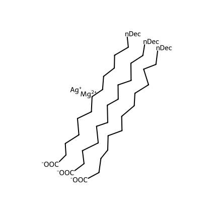 CCCCCCCCCCCCCCCCCCCCCC(=O)[O-].CCCCCCCCCCCCCCCCCCCCCC(=O)[O-].CCCCCCCCCCCCCCCCCCCCCC(=O)[O-].[Ag+].[Mg+2]